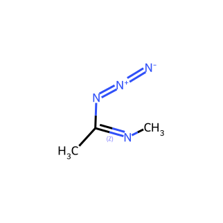 C/N=C(/C)N=[N+]=[N-]